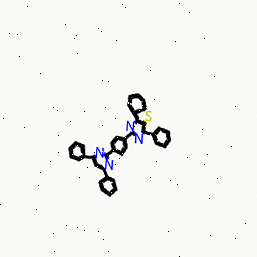 c1ccc(-c2cc(-c3ccccc3)nc(-c3ccc(-c4nc(-c5ccccc5)c5sc6ccccc6c5n4)cc3)n2)cc1